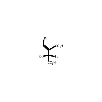 CCC(C)C(CC)(C(=O)O)C(=CC(C)C)C(=O)O